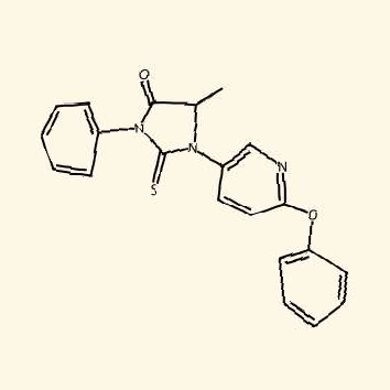 CC1C(=O)N(c2ccccc2)C(=S)N1c1ccc(Oc2ccccc2)nc1